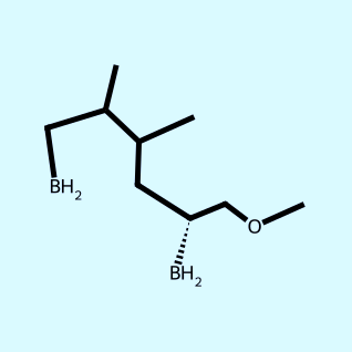 BCC(C)C(C)C[C@@H](B)COC